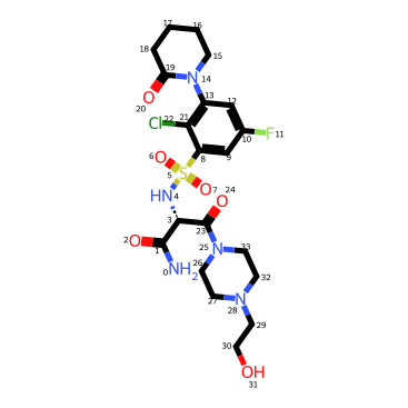 NC(=O)[C@H](NS(=O)(=O)c1cc(F)cc(N2CCCCC2=O)c1Cl)C(=O)N1CCN(CCO)CC1